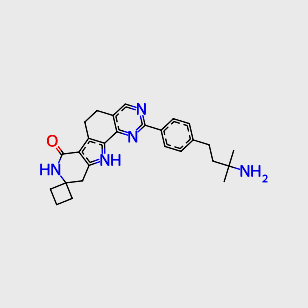 CC(C)(N)CCc1ccc(-c2ncc3c(n2)-c2[nH]c4c(c2CC3)C(=O)NC2(CCC2)C4)cc1